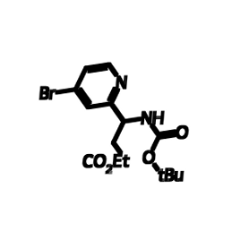 CCOC(=O)CC(NC(=O)OC(C)(C)C)c1cc(Br)ccn1